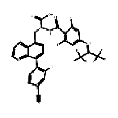 N#Cc1ccc(-c2ccc(C[C@H](NC(=O)c3c(F)cc(NC(C(F)(F)F)C(F)(F)F)cc3F)C(=O)O)c3cccnc23)c(Cl)c1